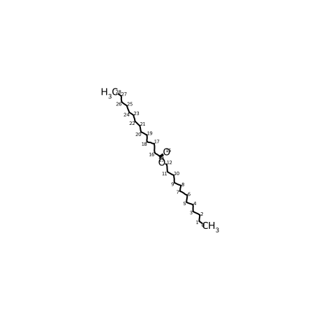 CCCCCCCCCCCCCOC(=O)CCCCCCCCCCCCC